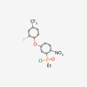 CCP(=O)(Cl)c1cc(Oc2ccc(C(F)(F)F)cc2F)ccc1[N+](=O)[O-]